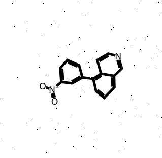 O=[N+]([O-])c1cccc(-c2cccc3cnccc23)c1